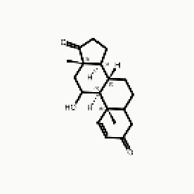 C[C@]12C=CC(=O)CC1CC[C@@H]1[C@@H]2C(O)C[C@]2(C)C(=O)CC[C@@H]12